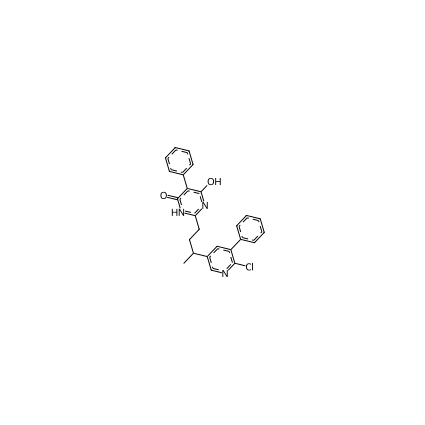 CC(CCc1nc(O)c(-c2ccccc2)c(=O)[nH]1)c1cnc(Cl)c(-c2ccccc2)c1